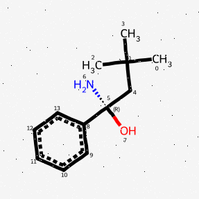 CC(C)(C)C[C@@](N)(O)c1ccccc1